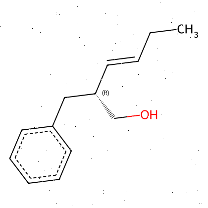 CCC=C[C@H](CO)Cc1ccccc1